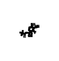 CC(C)(C)NCC(O)C1(C)CC=C(N)C(C#N)=C1F